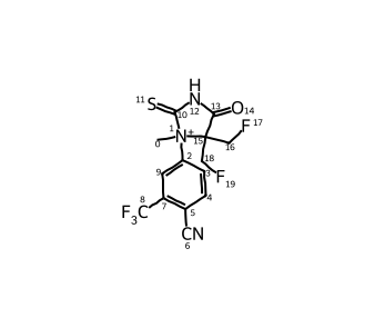 C[N+]1(c2ccc(C#N)c(C(F)(F)F)c2)C(=S)NC(=O)C1(CF)CF